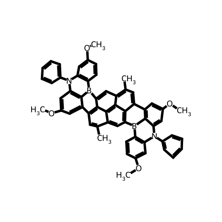 COc1ccc2c(c1)N(c1ccccc1)c1cc(OC)cc3c1B2c1cc2c(C)cc4c5c(cc6c(C)cc-3c1c6c25)B1c2ccc(OC)cc2N(c2ccccc2)c2cc(OC)cc-4c21